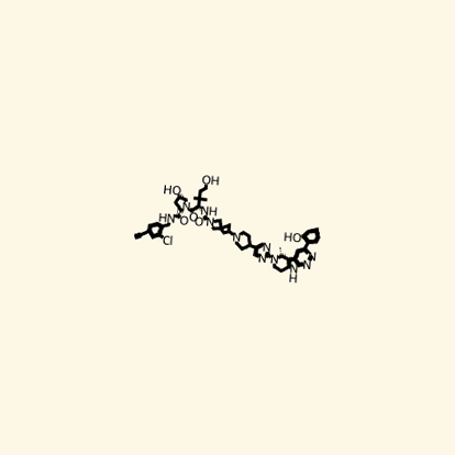 C#Cc1ccc(CNC(=O)[C@@H]2C[C@@H](O)CN2C(=O)[C@H](NC(=O)N2CC3(CC(N4CCC(c5cnc(N6CCc7[nH]c8nnc(-c9ccccc9O)cc8c7[C@H]6C)nc5)CC4)C3)C2)C(C)(C)CCO)c(Cl)c1